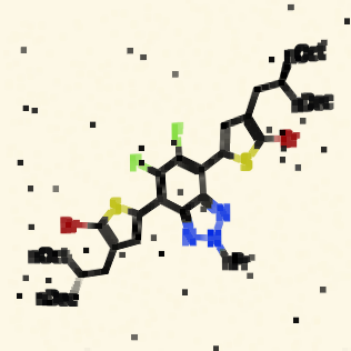 CCCCCCCCCC[C@H](CCCCCCCC)Cc1cc(-c2c(F)c(F)c(-c3cc(C[C@@H](CCCCCCCC)CCCCCCCCCC)c(Br)s3)c3nn(CCC)nc23)sc1Br